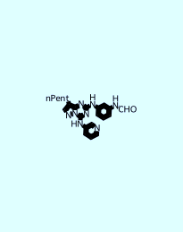 CCCCCc1cnn2c(Nc3cccnc3)nc(Nc3cccc(NC=O)c3)nc12